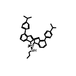 CCC[SiH]=[Hf]([CH3])([CH3])([CH]1C=Cc2c(-c3ccc(C(C)C)cc3)cccc21)[CH]1C=Cc2c(-c3ccc(C(C)C)cc3)cccc21